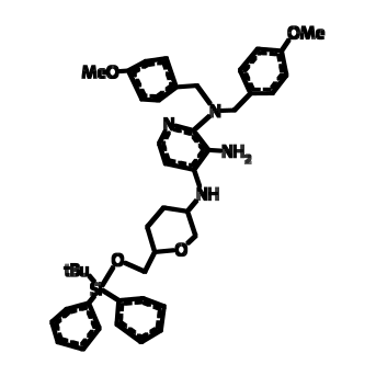 COc1ccc(CN(Cc2ccc(OC)cc2)c2nccc(NC3CCC(CO[Si](c4ccccc4)(c4ccccc4)C(C)(C)C)OC3)c2N)cc1